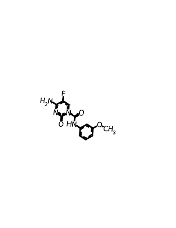 COc1cccc(NC(=O)n2cc(F)c(N)nc2=O)c1